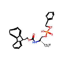 O=C(N[C@H](COP(=O)(O)OCc1ccccc1)C(=O)O)OCC1c2ccccc2-c2ccccc21